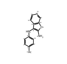 CC(=O)c1ccc(Nc2c(N)oc3cnccc23)cc1